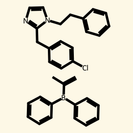 C=C(C)B(c1ccccc1)c1ccccc1.Clc1ccc(Cc2nccn2CCc2ccccc2)cc1